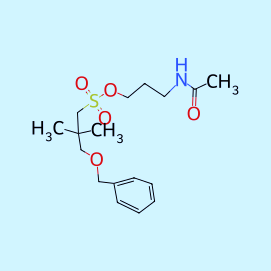 CC(=O)NCCCOS(=O)(=O)CC(C)(C)COCc1ccccc1